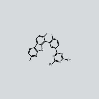 Cc1ccc2c(n1)oc1c(-c3cc(-c4nc(C(C)C)nc(C(C)C)n4)cc[n+]3C)c(C)ccc12